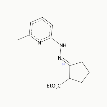 CCOC(=O)C1CCC/C1=N\Nc1cccc(C)n1